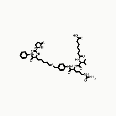 CC(C)C(NC(=O)CCCCCC(=O)O)C(=O)NC(CCCNC(N)=O)C(=O)Nc1ccc(CSCCCCCC(NC(=O)[C@H]2CCC(=O)N2)C(=O)Nc2ccccc2)cc1